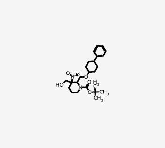 CC(C)(C)OC(=O)N1CCCC(CO)([N+](=O)[O-])C1COC1CCC(c2ccccc2)CC1